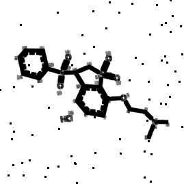 CN(C)CCOc1cccc2c1S(=O)(=O)CC2S(=O)(=O)c1ccccc1.Cl